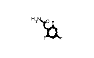 NC(=O)Cc1c(F)cc(F)cc1F